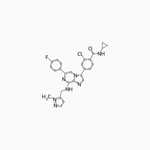 Cn1nccc1CNc1nc(-c2ccc(F)cc2)cn2c(-c3ccc(C(=O)NC4CC4)c(Cl)c3)cnc12